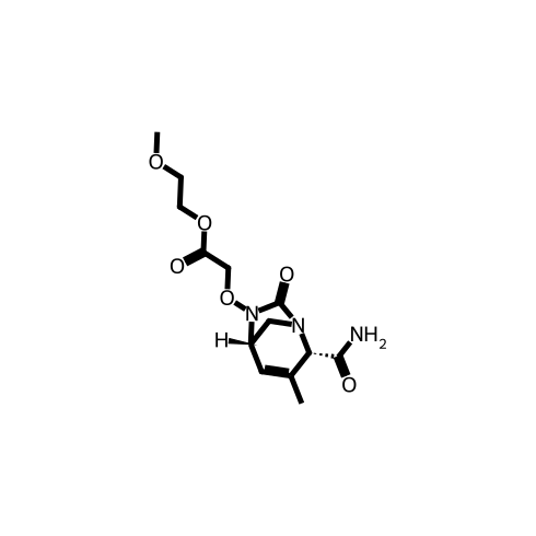 COCCOC(=O)CON1C(=O)N2C[C@@H]1C=C(C)[C@H]2C(N)=O